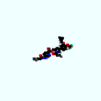 CCC(=O)Nc1ccc(C(=O)OC[C@H]2C[C@@H](c3ccc(OC(F)F)c(OCC4CC4)c3)CN2C(C)=O)nc1